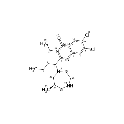 CCCC(c1nc2cc(Cl)c(Cl)cc2c(=O)n1CC)N1CCNC[C@@H](C)C1